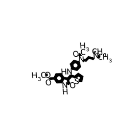 COC(=O)c1ccc2c(c1)NC(=O)C2=C(Nc1ccc(N(CCCN(C)C)C(C)=O)cc1)c1cccs1